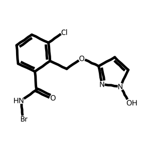 O=C(NBr)c1cccc(Cl)c1COc1ccn(O)n1